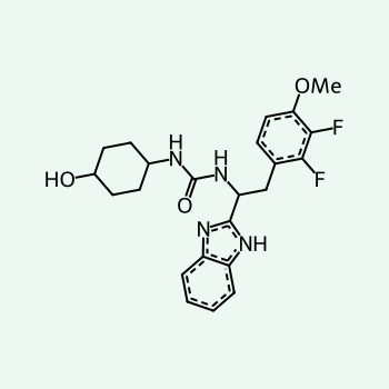 COc1ccc(CC(NC(=O)NC2CCC(O)CC2)c2nc3ccccc3[nH]2)c(F)c1F